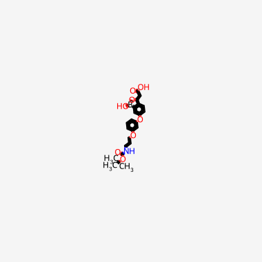 CC(C)(C)OC(=O)NCCCOc1cccc(Oc2ccc3c(c2)B(O)OC3CC(=O)O)c1